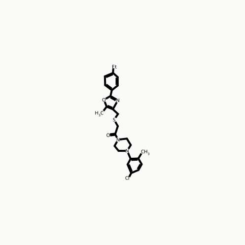 CCc1ccc(-c2nc(CSCC(=O)N3CCN(c4cc(Cl)ccc4C)CC3)c(C)o2)cc1